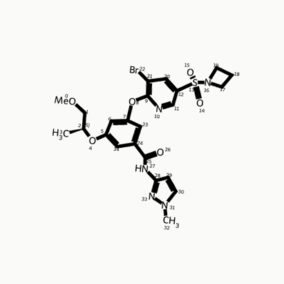 COC[C@H](C)Oc1cc(Oc2ncc(S(=O)(=O)N3CCC3)cc2Br)cc(C(=O)Nc2ccn(C)n2)c1